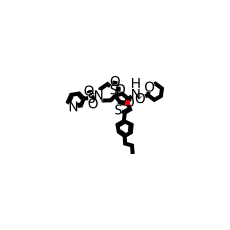 CCCc1ccc(-c2ccc(C3(CC(=O)NOC4CCCCO4)CCN(S(=O)(=O)c4cccnc4)CCS3(=O)=O)s2)cc1